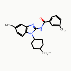 CCOC(=O)C1CCC(n2c(NC(=O)c3cccc(C)c3)nc3cc(C=O)ccc32)CC1